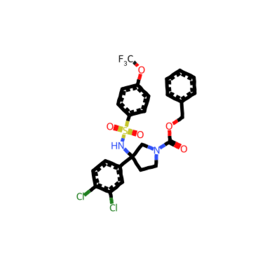 O=C(OCc1ccccc1)N1CCC(NS(=O)(=O)c2ccc(OC(F)(F)F)cc2)(c2ccc(Cl)c(Cl)c2)C1